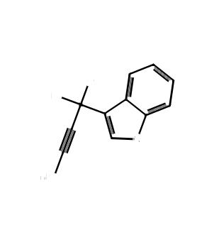 CCCCC#CC(O)(C(=O)OCC)c1c[nH]c2ccccc12